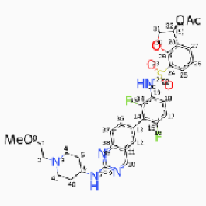 COCCN1CCC(Nc2ncc3cc(-c4c(F)ccc(NS(=O)(=O)c5cccc6c5OC[C@H]6OC(C)=O)c4F)ccc3n2)CC1